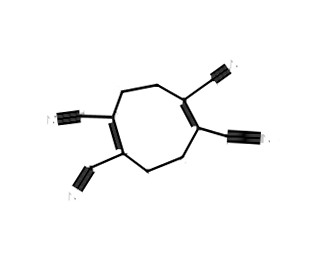 N#CC1=C(C#N)CCC(C#N)=C(C#N)CC1